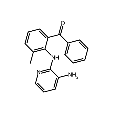 Cc1cccc(C(=O)c2ccccc2)c1Nc1ncccc1N